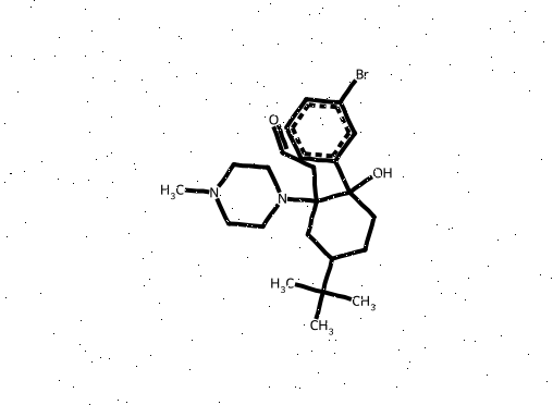 CN1CCN(C2(CC=O)CC(C(C)(C)C)CCC2(O)c2cccc(Br)c2)CC1